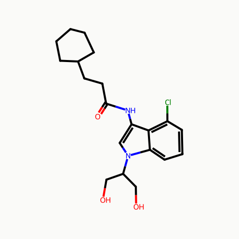 O=C(CCC1CCCCC1)Nc1cn(C(CO)CO)c2cccc(Cl)c12